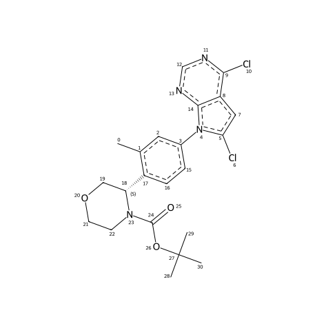 Cc1cc(-n2c(Cl)cc3c(Cl)ncnc32)ccc1[C@H]1COCCN1C(=O)OC(C)(C)C